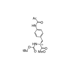 COC(=O)[C@H](Cc1ccc(NC(=O)C(C)=O)cc1)NC(=O)OC(C)(C)C